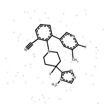 Cc1cc(-c2cccc(C#N)c2N2CCC(F)(c3nncn3C)CC2)cnc1F